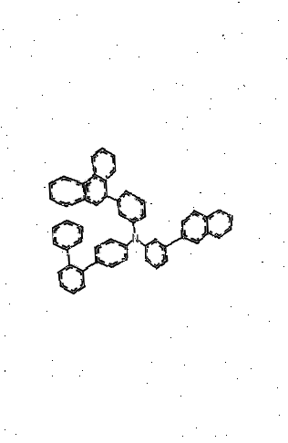 c1ccc(-c2ccccc2-c2ccc(N(c3cccc(-c4ccc5ccccc5c4)c3)c3cccc(-c4cc5ccccc5c5ccccc45)c3)cc2)cc1